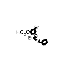 CCC(COCc1ccccc1)Oc1cc(Br)cc(C(=O)O)c1